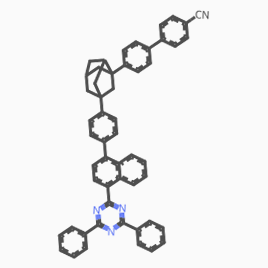 N#Cc1ccc(-c2ccc(C34CC5CC3CC(c3ccc(-c6ccc(-c7nc(-c8ccccc8)nc(-c8ccccc8)n7)c7ccccc67)cc3)(C5)C4)cc2)cc1